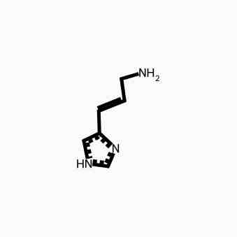 NC/C=C/c1c[nH]cn1